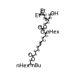 CCCCCCC(CCCC)COC(=O)CCCCCCCCCC(CCCCCC)OC(=O)OCCN(CCO)CCN(CC)CC